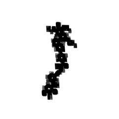 CCc1cc(-c2cccc3cc(-c4ccc(C(=O)NCC#Cc5cccc(NC6CCC(=O)NC6=O)c5)nc4)ncc23)c2cc(C)c(=O)n(C)c2c1